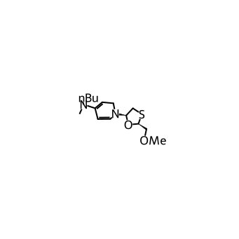 CCCCN(C)C1=CCN([C@H]2CS[C@@H](COC)O2)C=C1